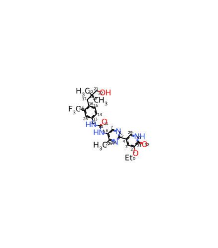 CCOc1cc(-c2ncc(NC(=O)Nc3ccc(CC(C)(C)CO)c(C(F)(F)F)c3)c(C)n2)c[nH]c1=O